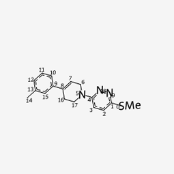 CSc1ccc(N2CC=C(c3cccc(C)c3)CC2)nn1